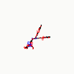 CCCCCC/C=C/COC(=O)CCCCCCCCN(CCCCCCCCC(=O)OC/C=C/CCCCCC)CCCN(C)CCCCCC(=O)Nc1nc(OCCOC)nc2c1[nH]c(=O)n2Cc1ccc(C=O)cc1